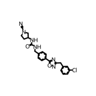 N#CN1CCC(NC(=O)NCc2ccc(-c3nc(Cc4cccc(Cl)c4)no3)cc2)C1